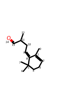 CC1=CCCC(C)(C)C1=CCC(C)C=O